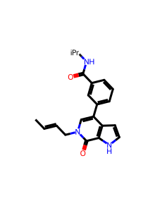 C/C=C/Cn1cc(-c2cccc(C(=O)NC(C)C)c2)c2cc[nH]c2c1=O